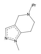 CC(C)N1CCc2c(cnn2C)C1